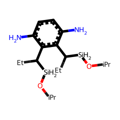 CCC([SiH2]OC(C)C)c1c(N)ccc(N)c1C(CC)[SiH2]OC(C)C